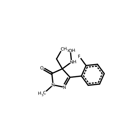 CCC1(NO)C(=O)N(C)N=C1c1ccccc1F